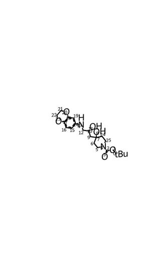 CC(C)(C)OC(=O)N1CCC(O)(CC(O)CNc2ccc3c(c2)OCCO3)CC1